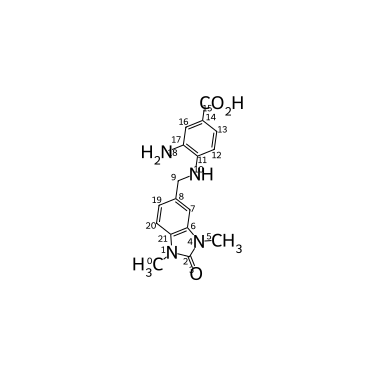 Cn1c(=O)n(C)c2cc(CNc3ccc(C(=O)O)cc3N)ccc21